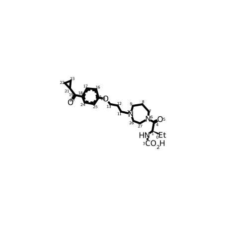 CC[C@@H](NC(=O)O)C(=O)N1CCCN(CCCOc2ccc(C(=O)C3CC3)cc2)CC1